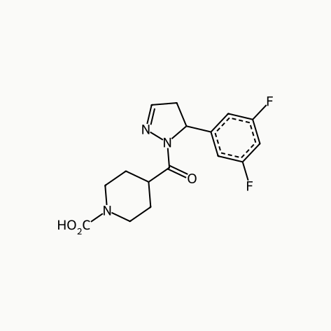 O=C(O)N1CCC(C(=O)N2N=CCC2c2cc(F)cc(F)c2)CC1